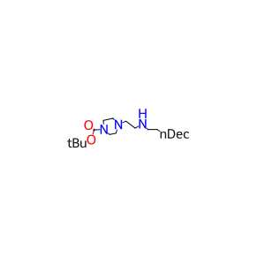 CCCCCCCCCCCCNCCN1CCN(C(=O)OC(C)(C)C)CC1